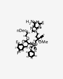 C#C[C@](CCn1cnc2c(N)nc(F)nc21)(COP(=O)(N[C@@H](Cc1cc(F)cc(F)c1)C(=O)OCCCCCCCCCCCC)Oc1ccccc1)OC